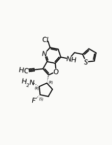 C#Cc1c([C@@H]2CC[C@H](F)[C@@H]2N)oc2c(NCc3cccs3)cc(Cl)nc12